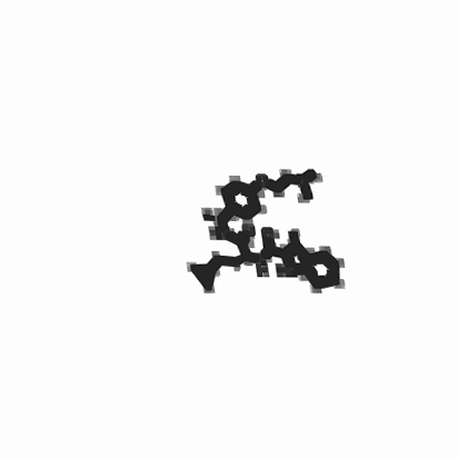 Cc1c(C(=O)N[C@@H](CCC2CC2)C(=O)N[C@H](C)c2ccc(OCCN(C)C)cc2)[nH]c2ccccc12